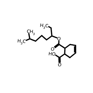 CCC(CCCC(C)C)OC(=O)C1CC=CCC1C(=O)O